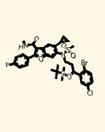 CNC(=O)c1c(-c2ccc(F)cc2)oc2cc(N(CCC(O[Si](C)(C)C(C)(C)C)c3cc(Cl)ccc3Br)S(C)(=O)=O)c(C3CC3)cc12